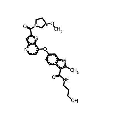 CO[C@@H]1CCN(C(=O)c2cc3nccc(Oc4ccc5c(C(=O)NCCCO)c(C)sc5c4)c3s2)C1